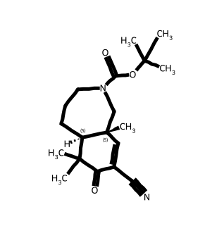 CC(C)(C)OC(=O)N1CCC[C@@H]2C(C)(C)C(=O)C(C#N)=C[C@@]2(C)C1